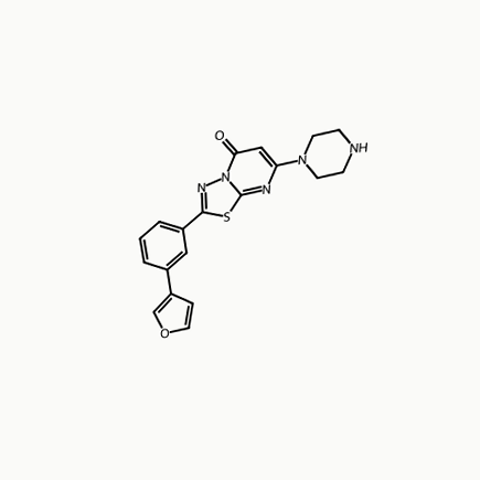 O=c1cc(N2CCNCC2)nc2sc(-c3cccc(-c4ccoc4)c3)nn12